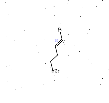 CCCCC/C=C/[P]